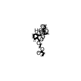 C=CC(=O)OCCOC(=O)c1ccccc1C(=O)OC1(C2(O)CCO2)CCO1